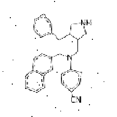 N#Cc1ccc(N(Cc2ccc3ccccc3c2)CC2CNCC2Cc2ccccc2)cc1